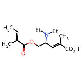 CC=C(C)C(=O)OCC(C=C(C)C(=O)O)N(CC)CC